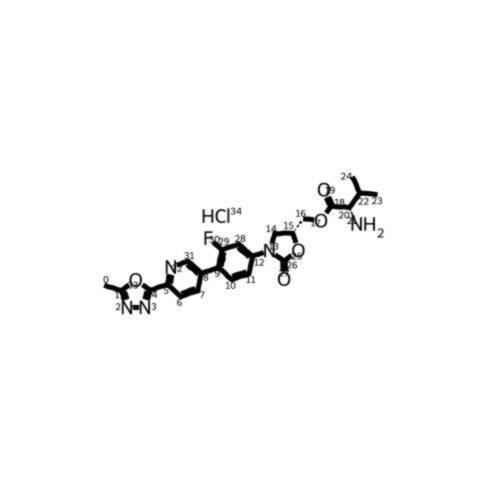 Cc1nnc(-c2ccc(-c3ccc(N4C[C@H](COC(=O)[C@@H](N)C(C)C)OC4=O)cc3F)cn2)o1.Cl